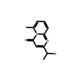 Cc1cccc2nc(C(C)Br)cc(=O)n12